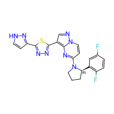 Fc1ccc(F)c([C@H]2CCCN2c2ccn3ncc(-c4nnc(-c5cc[nH]n5)s4)c3n2)c1